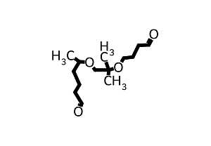 CC(CCCC=O)OCC(C)(C)OCCCC=O